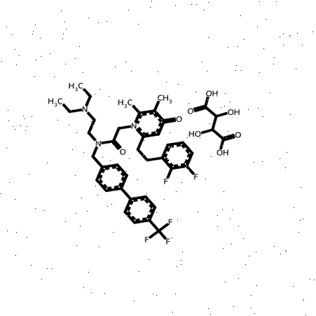 CCN(CC)CCN(Cc1ccc(-c2ccc(C(F)(F)F)cc2)cc1)C(=O)Cn1c(CCc2cccc(F)c2F)cc(=O)c(C)c1C.O=C(O)C(O)C(O)C(=O)O